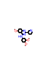 COc1ccc2nc(-c3cccnc3)nc(Nc3ccc(OC)c(OC)c3)c2c1